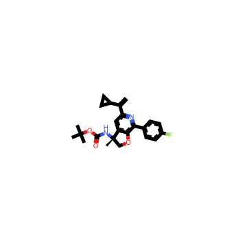 C=C(c1cc2c(c(-c3ccc(F)cc3)n1)OC[C@]2(C)NC(=O)OC(C)(C)C)C1CC1